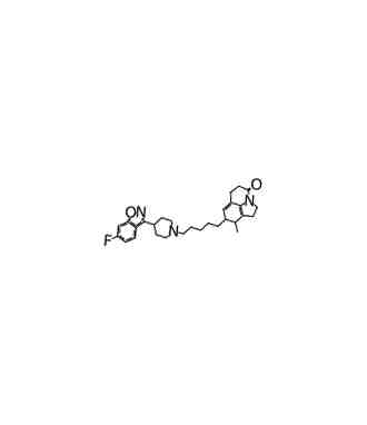 CC1C2=C3C(=CC1CCCCCN1CCC(c4noc5cc(F)ccc45)CC1)CCC(=O)N3CC2